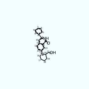 O=c1[nH]c(-c2ccccc2)cc2ccc(N3CCCCC3CO)cc12